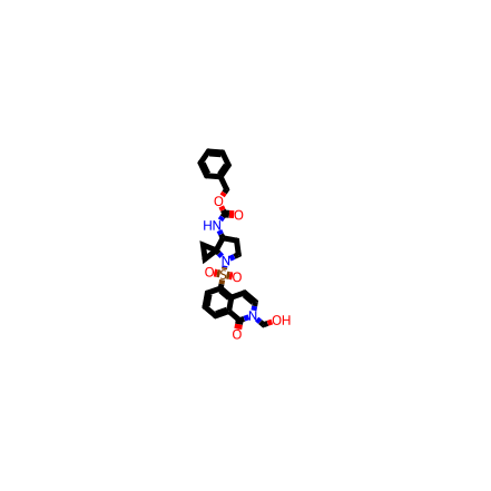 O=C(NC1CCN(S(=O)(=O)c2cccc3c(=O)n(CO)ccc23)C12CC2)OCc1ccccc1